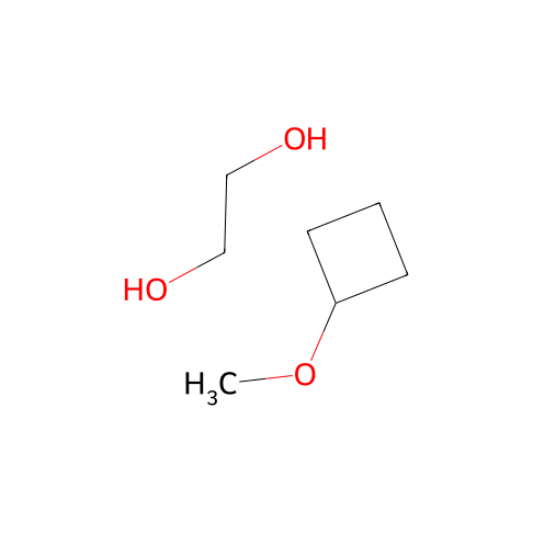 COC1CCC1.OCCO